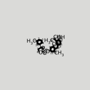 Cc1cccc([C@@H]2CCO[P@](=O)(COc3cc(C)c(Cc4ccc(O)c(C(C)C)c4)c(C)c3)O2)c1